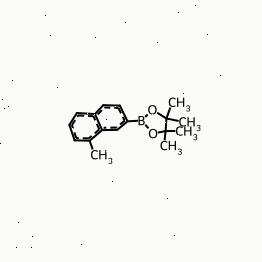 Cc1cccc2ccc(B3OC(C)(C)C(C)(C)O3)cc12